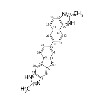 Cc1nc2cc3sc4cc(-c5ccc6c(ccc7nc(C)[nH]c76)c5)ccc4c3cc2[nH]1